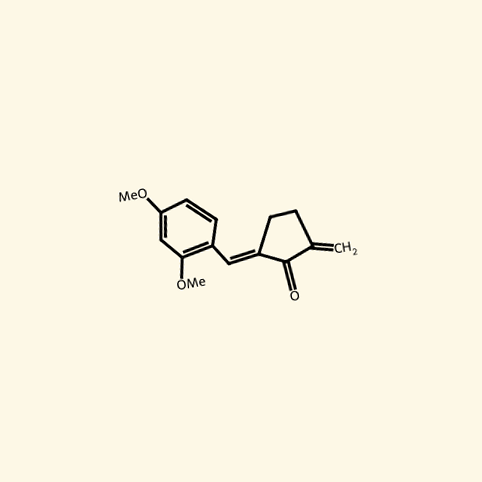 C=C1CC/C(=C\c2ccc(OC)cc2OC)C1=O